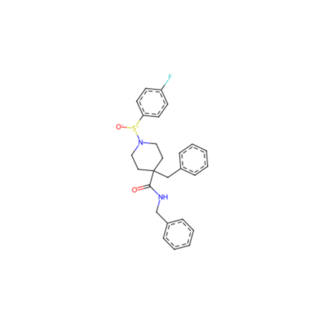 O=C(NCc1ccccc1)C1(Cc2ccccc2)CCN([S+]([O-])c2ccc(F)cc2)CC1